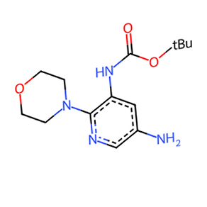 CC(C)(C)OC(=O)Nc1cc(N)cnc1N1CCOCC1